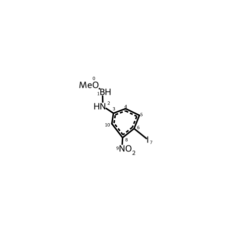 COBNc1ccc(I)c([N+](=O)[O-])c1